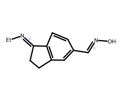 CC/N=C1\CCc2cc(/C=N/O)ccc21